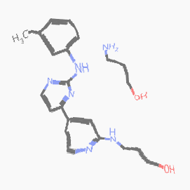 Cc1cccc(Nc2nccc(-c3ccnc(NCCCO)c3)n2)c1.NCCCO